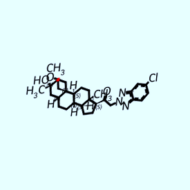 COCC[C@]12CC[C@@](C)(O)C[C@H]1CC[C@H]1[C@@H]3CC[C@H](C(=O)Cn4nc5ccc(Cl)cc5n4)[C@@]3(C)CC[C@@H]12